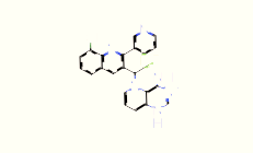 NC1=C2C(=CC=CN2C(c2cc3cccc(Cl)c3nc2-c2cccnc2)C(F)(F)F)NC=N1